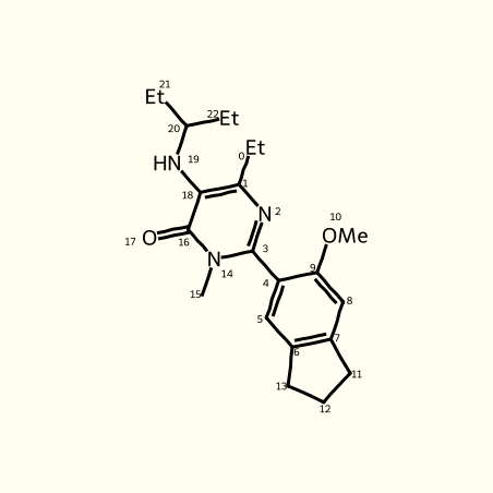 CCc1nc(-c2cc3c(cc2OC)CCC3)n(C)c(=O)c1NC(CC)CC